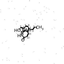 C/C=C/C(/C=C\C(=C\O)NC)C1C=CC(=O)NN=C1